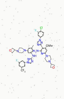 COc1cc(N2CCN(C3COC3)CC2)nc(N)c1-c1ncn(-c2ccc(Cl)c(F)c2)n1.Cc1cc(Nc2ncn(-c3cc(F)cc(C(F)(F)F)c3)n2)cc(N2CCN(C3COC3)CC2)c1